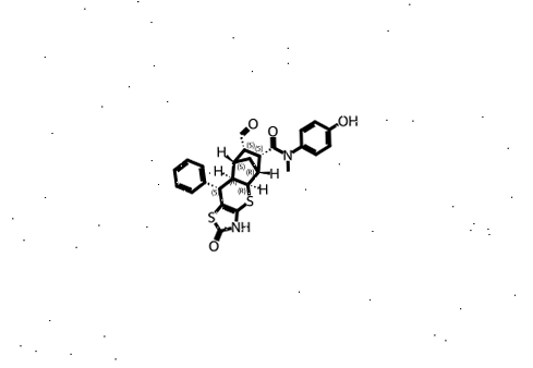 CN(C(=O)[C@H]1[C@@H](C=O)[C@@H]2C[C@H]1[C@H]1Sc3[nH]c(=O)sc3[C@H](c3ccccc3)[C@@H]21)c1ccc(O)cc1